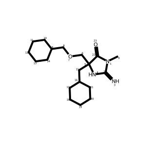 CN1C(=N)NC(COCC2CCCCC2)(CC2CCCCC2)C1=O